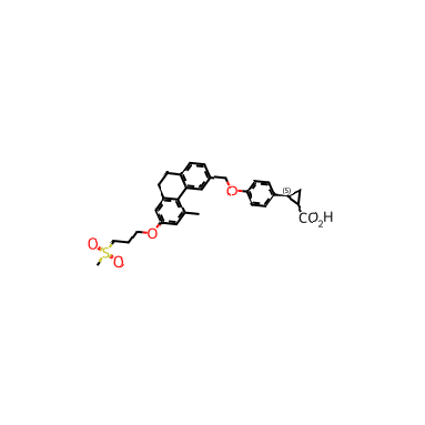 Cc1cc(OCCCS(C)(=O)=O)cc2c1-c1cc(COc3ccc([C@H]4CC4C(=O)O)cc3)ccc1CC2